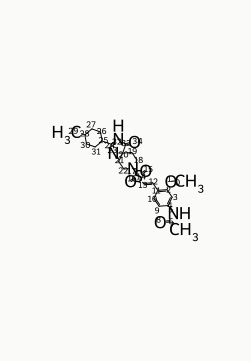 COc1cc(NC(C)=O)ccc1/C=C/S(=O)(=O)N1CCC2(CC1)N=C(C1CCC(C)CC1)NC2=O